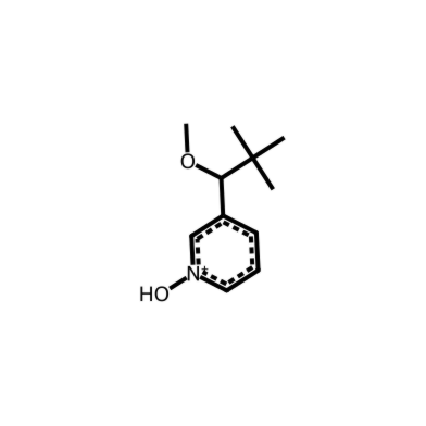 COC(c1ccc[n+](O)c1)C(C)(C)C